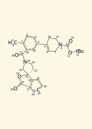 Cc1ccc(C2=CCN(C(=O)OC(C)(C)C)CC2)cc1C(=O)N1CC[C@@]2(C1)OC(=O)c1ccccc12